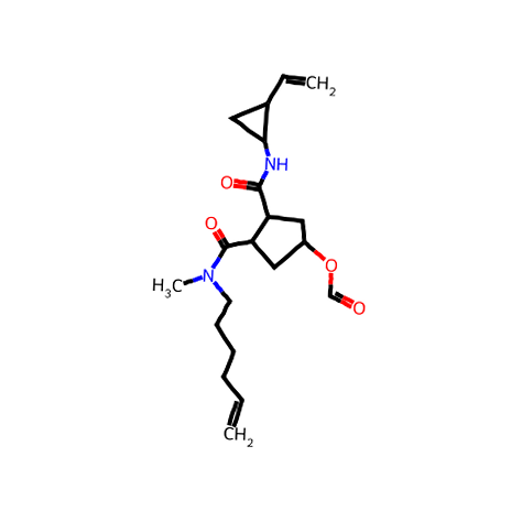 C=CCCCCN(C)C(=O)C1CC(OC=O)CC1C(=O)NC1CC1C=C